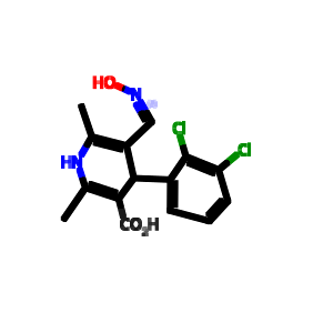 CC1=C(/C=N\O)C(c2cccc(Cl)c2Cl)C(C(=O)O)=C(C)N1